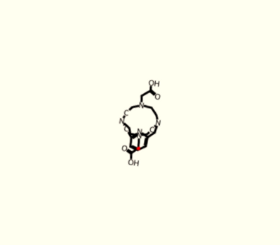 O=C(O)CN1CCN2CCN(CC(=O)O)CCN(CC1)Cc1cccc(n1)C2